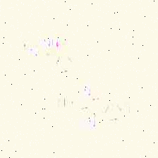 C/C=C(/C(=N)c1ccc(F)cc1)C(=O)N1CCC(c2ccc(S(=O)(=O)Nc3nccs3)cc2)CC1